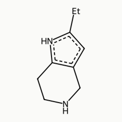 CCc1cc2c([nH]1)CCNC2